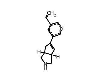 C=Cc1cncc(C2=C[C@@H]3CNC[C@@H]3C2)c1